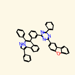 c1ccc(-c2nc(-c3cccc(-c4c(-c5ccccc5)n5ncc(-c6ccccc6)c5c5ccccc45)c3)nc(-c3ccc4oc5ccccc5c4c3)n2)cc1